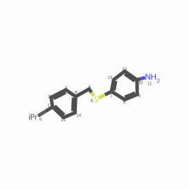 CC(C)c1ccc(CSc2ccc(N)cc2)cc1